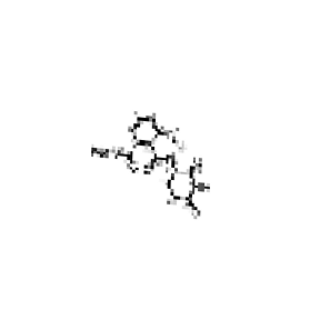 CNC(=O)c1cccc2nnn(C3CCC(=O)NC3=O)c(=O)c12